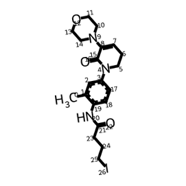 Cc1cc(N2CCC=C(N3CCOCC3)C2=O)ccc1NC(=O)CCCI